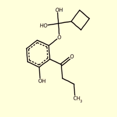 CCCC(=O)c1c(O)cccc1OC(O)(O)C1CCC1